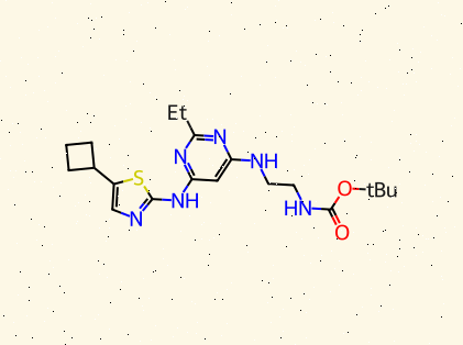 CCc1nc(NCCNC(=O)OC(C)(C)C)cc(Nc2ncc(C3CCC3)s2)n1